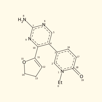 CCn1cc(-c2cnc(N)nc2C2=CCCO2)ccc1=O